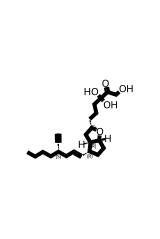 C#C[C@H](CC=C[C@H]1CC[C@H]2O[C@@H](CCCC(O)(O)C(=O)CO)C[C@H]12)CCCC